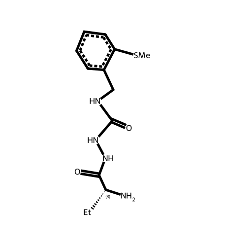 CC[C@@H](N)C(=O)NNC(=O)NCc1ccccc1SC